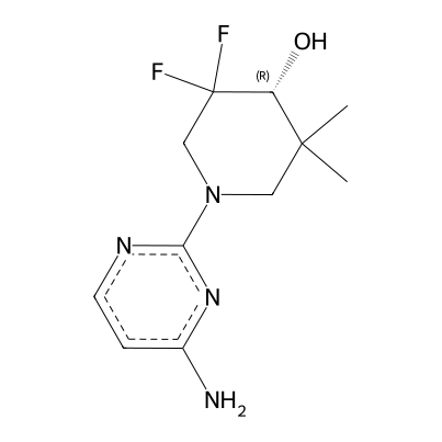 CC1(C)CN(c2nccc(N)n2)CC(F)(F)[C@@H]1O